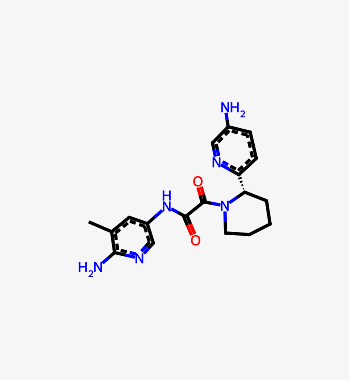 Cc1cc(NC(=O)C(=O)N2CCCC[C@H]2c2ccc(N)cn2)cnc1N